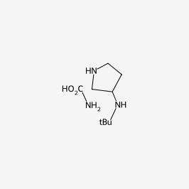 CC(C)(C)NC1CCNC1.NC(=O)O